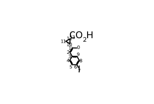 C/C(=C\c1ccc(I)cc1)[C@@H]1C[C@H]1C(=O)O